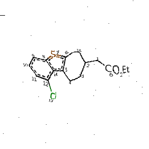 CCOC(=O)CC1CCc2c(sc3cccc(Cl)c23)C1